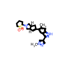 Cc1cc2[nH]nc(-c3cnn(C)c3)c2cc1C1=C[C@@H]2CN(C3CCCCS3(=O)=O)C[C@@H]2C1